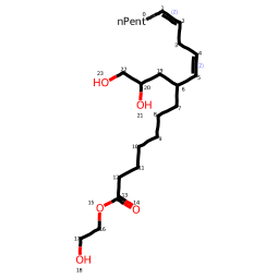 CCCCC/C=C\C/C=C\C(CCCCCCC(=O)OCCO)CC(O)CO